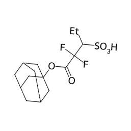 CCC(C(F)(F)C(=O)OC12CC3CC(CC(C3)C1)C2)S(=O)(=O)O